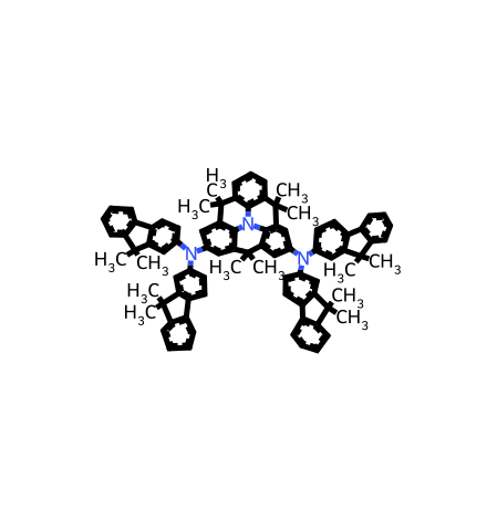 CC1(C)c2ccccc2-c2ccc(N(c3ccc4c(c3)C(C)(C)c3ccccc3-4)c3cc4c5c(c3)C(C)(C)c3cc(N(c6ccc7c(c6)C(C)(C)c6ccccc6-7)c6ccc7c(c6)C(C)(C)c6ccccc6-7)cc6c3N5c3c(cccc3C6(C)C)C4(C)C)cc21